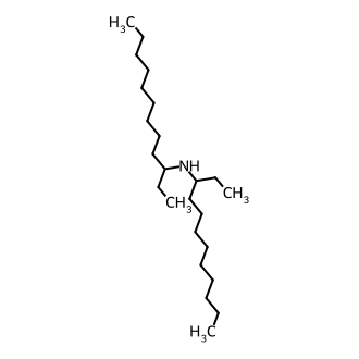 CCCCCCCCCC(CC)NC(CC)CCCCCCCCC